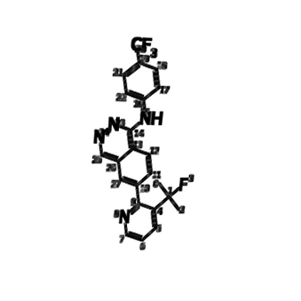 CC(C)(F)c1cccnc1-c1ccc2c(Nc3ccc(C(F)(F)F)cc3)nncc2c1